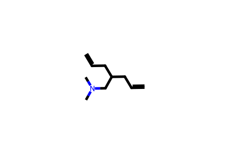 C=CCC(CC=C)CN(C)C